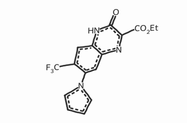 CCOC(=O)c1nc2cc(-n3cccc3)c(C(F)(F)F)cc2[nH]c1=O